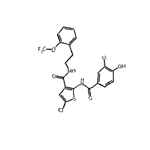 O=C(Nc1sc(Cl)cc1C(=O)NCCc1ccccc1OC(F)(F)F)c1ccc(O)c(Cl)c1